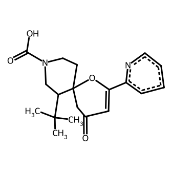 CC(C)(C)C1CN(C(=O)O)CCC12CC(=O)C=C(c1ccccn1)O2